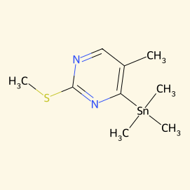 CSc1ncc(C)[c]([Sn]([CH3])([CH3])[CH3])n1